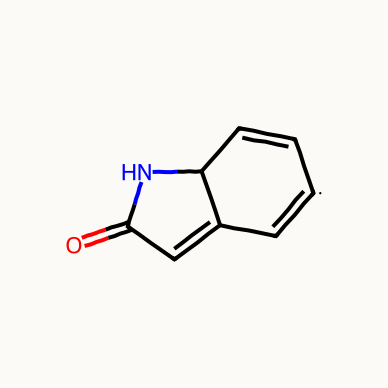 O=C1C=C2C=[C]C=CC2N1